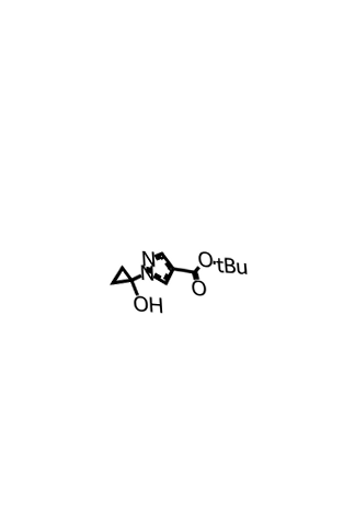 CC(C)(C)OC(=O)c1cnn(C2(O)CC2)c1